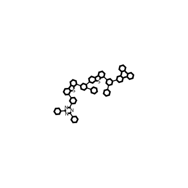 c1ccc(-c2cc(-c3ccc4c5ccccc5c5ccccc5c4c3)cc(-c3cccc4c3sc3cc(-c5cc(-c6cccc7c6sc6c(-c8cccc(-c9nc(-c%10ccccc%10)nc(-c%10ccccc%10)n9)c8)cccc67)ccc5-c5ccccc5)ccc34)c2)cc1